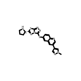 Cn1cc(-c2cnc3ccc(Sc4nnc5sc([C@@H]6CCCN6)nn45)cc3c2)cn1